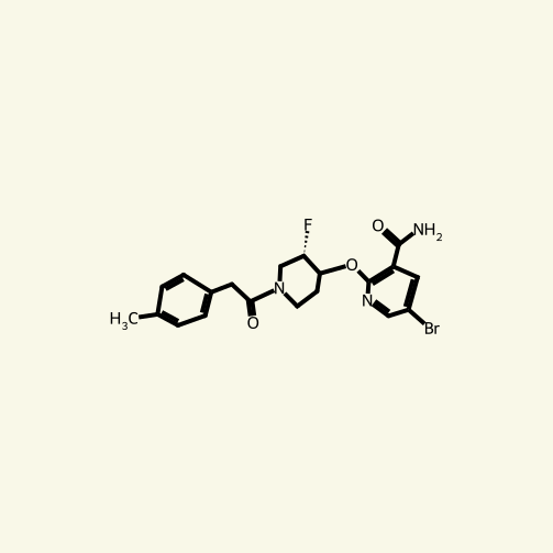 Cc1ccc(CC(=O)N2CCC(Oc3ncc(Br)cc3C(N)=O)[C@@H](F)C2)cc1